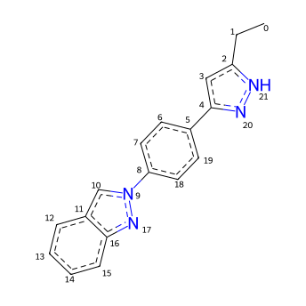 CCc1cc(-c2ccc(-n3cc4ccccc4n3)cc2)n[nH]1